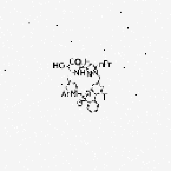 CCCc1cc(C(=O)N[C@H](Cc2ccccc2)[C@@H](O)C(=O)O)nn1Cc1ccc(-c2ccccc2S(=O)(=O)NC(C)=O)c(F)c1